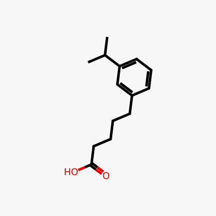 CC(C)c1cccc(CCCCC(=O)O)c1